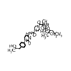 CCCC(OC(=O)NC(C)(C)C(=O)N1CCN(C(=O)Nc2ccn(-c3ccc(CC(C)O)cc3)c(=O)n2)CC1)C(C)(C)C